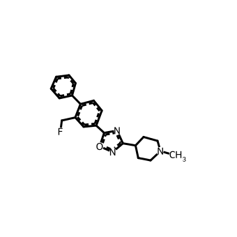 CN1CCC(c2noc(-c3ccc(-c4ccccc4)c(CF)c3)n2)CC1